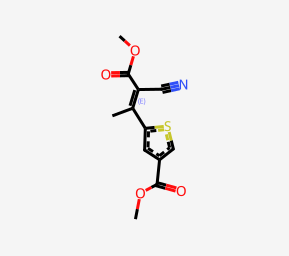 COC(=O)/C(C#N)=C(\C)c1cc(C(=O)OC)cs1